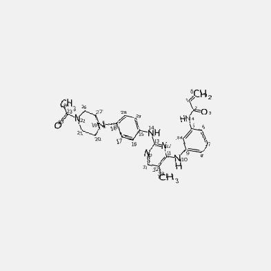 C=CC(=O)Nc1cccc(Nc2nc(Nc3ccc(N4CCN(C(C)=O)CC4)cc3)ncc2C)c1